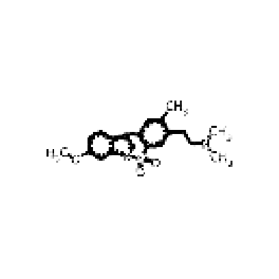 COc1ccc2c3cn(c2c1)S(=O)(=O)c1cc(CCN(C)C)c(C)cc1-3